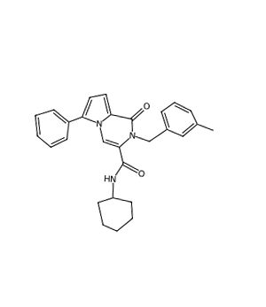 Cc1cccc(Cn2c(C(=O)NC3CCCCC3)cn3c(-c4ccccc4)ccc3c2=O)c1